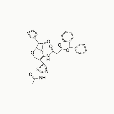 CC(=O)Nc1ncc(C2=C(NC(=O)CC(=O)OC(c3ccccc3)c3ccccc3)N3C(=O)C(c4cccs4)C3OC2)s1